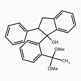 COC(C)(OC)c1ccccc1C1(O)c2ccccc2CC1c1ccccc1